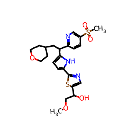 COCC(O)c1cnc(-c2ccc(C(CC3CCOCC3)c3ccc(S(C)(=O)=O)cn3)[nH]2)s1